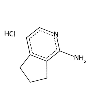 Cl.Nc1nccc2c1CCC2